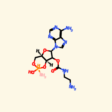 B[PH]1(O)OC[C@H]2O[C@@H](n3cnc4c(N)ncnc43)C(OC(=O)NCCN)[C@H]2O1